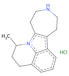 CC1CCc2cccc3c4c(n1c23)CCNCC4.Cl